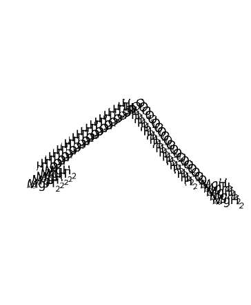 O.O.O.O.O.O.O.O.O.O.O.O.O.O.O.O.O.O.O.O.O.O.O.O.O.O.O.O.O.O.O.O.O.O.O.O.O.O.O.O.[MgH2].[MgH2].[MgH2].[MgH2].[MgH2].[MgH2].[MgH2].[MgH2].[MgH2].[MgH2]